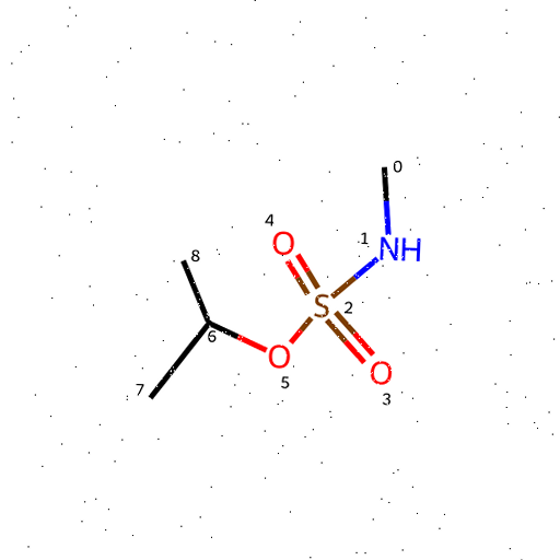 CNS(=O)(=O)OC(C)C